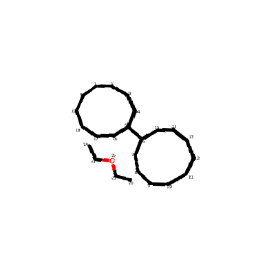 C1CCCCC(C2CCCCCCCCC2)CCCC1.CCOCC